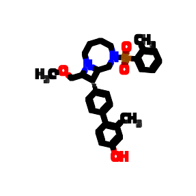 COCC1[C@@H](c2ccc(-c3ccc(O)cc3C)cc2)C2CN(S(=O)(=O)c3ccccc3C)CCCCN12